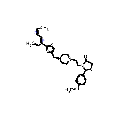 C=C/C(=C\C=C/C)c1nc(CN2CCN(CCN3C(=O)CSC3c3ccc(OC)cc3)CC2)cs1